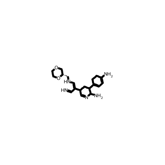 N=C/C(=C\NC[C@H]1COCCO1)C1C=NC(N)C(C2=CC=C(N)CC2)C1